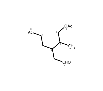 CC(=O)CCC(CC=O)C(C)COC(C)=O